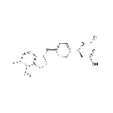 CCO[C@@H](CC(=O)O)c1ccc(O[C@@H]2CCc3c2ccc(F)c3C)cc1